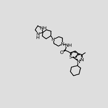 Cc1nn(C2CCCCC2)c2sc(C(=O)NN3CCN(C4CCC5(CC4)NCCN5)CC3)cc12